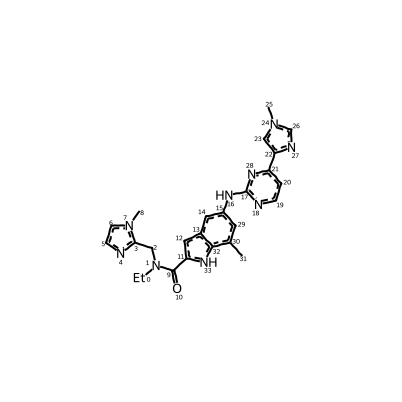 CCN(Cc1nccn1C)C(=O)c1cc2cc(Nc3nccc(-c4cn(C)cn4)n3)cc(C)c2[nH]1